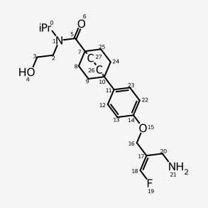 CC(C)N(CCO)C(=O)C12CCC(c3ccc(OC/C(=C/F)CN)cc3)(CC1)CC2